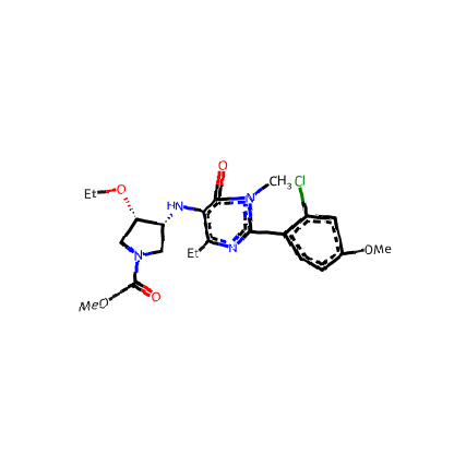 CCO[C@H]1CN(C(=O)OC)C[C@H]1Nc1c(CC)nc(-c2ccc(OC)cc2Cl)n(C)c1=O